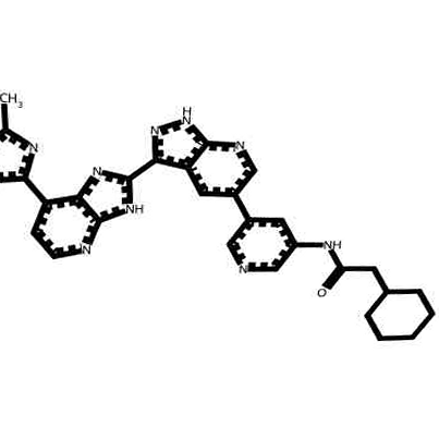 Cc1c[nH]c(-c2ccnc3[nH]c(-c4n[nH]c5ncc(-c6cncc(NC(=O)CC7CCCCC7)c6)cc45)nc23)n1